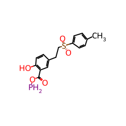 Cc1ccc(S(=O)(=O)CCc2ccc(O)c(C(=O)OP)c2)cc1